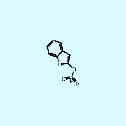 O=[SH](=O)Oc1cc2ccccc2o1